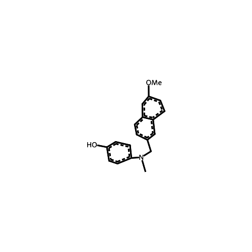 COc1ccc2cc(CN(C)c3ccc(O)cc3)ccc2c1